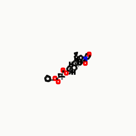 CC1([C@@H]2CC[C@]3(C(=O)N4CCOCC4)CC[C@]4(C)[C@H](CC[C@@H]5[C@@]6(C)CC[C@H](OC(=O)[C@H]7C[C@@H](C(=O)OCc8ccccc8)C7(C)C)C(C)(C)[C@@H]6CC[C@]54C)[C@@H]23)CC1